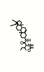 CCC(C)C(NC(C)=O)C(=O)NC1CCC2(C)C(=CCC3C2CCC24CN(C)C(C)C2CCC34C)C1